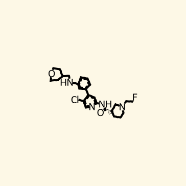 O=C(Nc1cc(-c2cccc(NCC3CCOCC3)c2)c(Cl)cn1)[C@H]1CCCN(CCF)C1